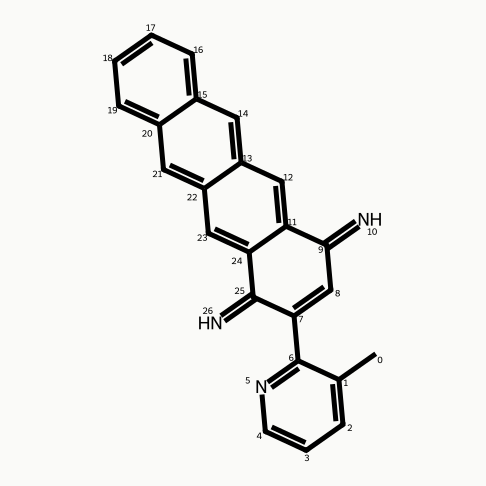 Cc1cccnc1C1=CC(=N)c2cc3cc4ccccc4cc3cc2C1=N